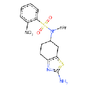 CCCN(C1CCc2nc(N)sc2C1)S(=O)(=O)c1ccccc1[N+](=O)[O-]